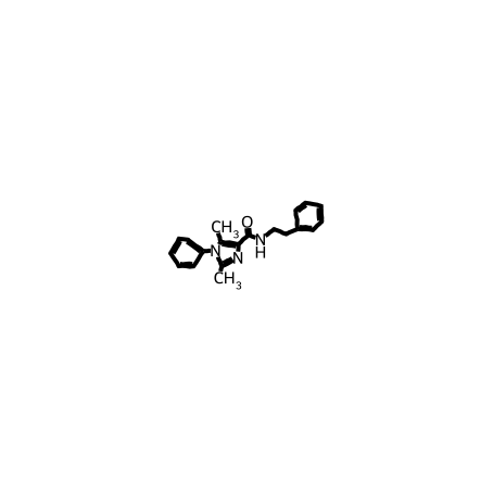 Cc1nc(C(=O)NCCc2ccccc2)c(C)n1-c1ccccc1